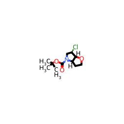 CC(C)(C)OC(=O)N1C[C@@H](Cl)[C@H]2OCC[C@H]21